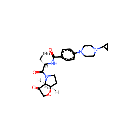 CC(C)(C)C[C@H](NC(=O)c1ccc(N2CCN(C3CC3)CC2)cc1)C(=O)N1CC[C@H]2OCC(=O)[C@H]21